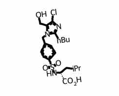 CCCCc1nc(Cl)c(CO)n1Cc1ccc(S(=O)(=O)N[C@H](CC(C)C)C(=O)O)cc1